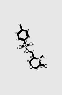 Cc1ccc(S(=O)(=O)OCC2COCC(=O)N2C)cc1